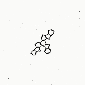 c1ccc2c(c1)nc1c3c(ccc4c5ccccc5sc43)c3ccc4c5ccccc5oc4c3n21